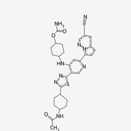 CC(=O)NC1CCC(c2nnc(-c3cnc(-c4ccc5cc(C#N)cnn45)cc3NC3CCC(OC(N)=O)CC3)s2)CC1